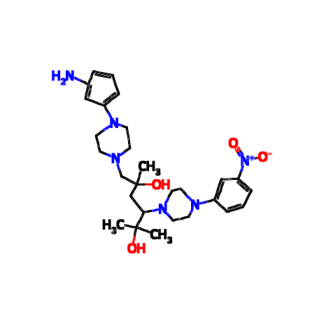 CC(O)(CC(N1CCN(c2cccc([N+](=O)[O-])c2)CC1)C(C)(C)O)CN1CCN(c2cccc(N)c2)CC1